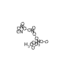 CC1(C)c2ccccc2-c2ccc(N(c3ccc(-c4ccccc4)cc3)c3ccc(-c4ccc(-n5c6ccccc6c6cc(-c7ccc8c(c7)c7ccccc7n8-c7cccc(C#N)c7)ccc65)cc4)cc3)cc21